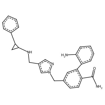 NC(=O)c1ccc(Cn2cc(CNC3CC3c3ccccc3)cn2)cc1-c1ccccc1N